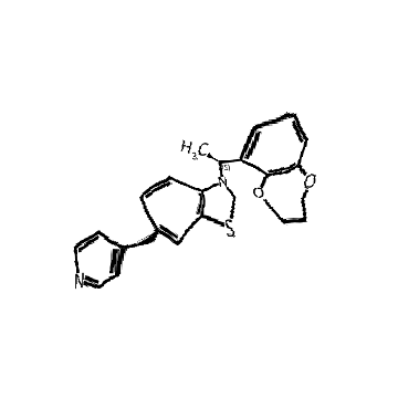 C[C@@H](c1cccc2c1OCCO2)N1CSc2cc(-c3ccncc3)ccc21